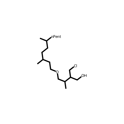 CCCCCC(C)CCC(C)CCOCC(C)C(CO)CCl